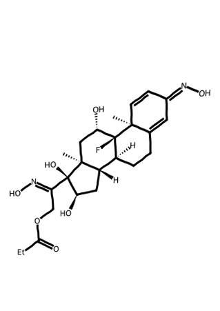 CCC(=O)OC/C(=N\O)[C@@]1(O)[C@H](O)C[C@H]2[C@@H]3CCC4=CC(=NO)C=C[C@]4(C)[C@@]3(F)[C@@H](O)C[C@@]21C